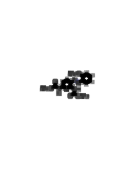 COC(=O)Nc1ccc(/N=N/c2ccccc2OC)c(NC(=O)OC)n1